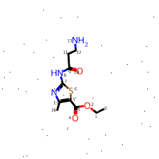 CCOC(=O)c1sc(NC(=O)CCN)nc1C